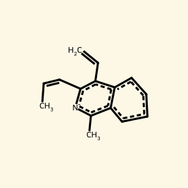 C=Cc1c(/C=C\C)nc(C)c2ccccc12